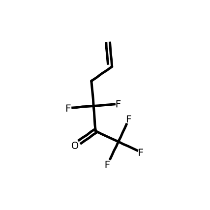 C=CCC(F)(F)C(=O)C(F)(F)F